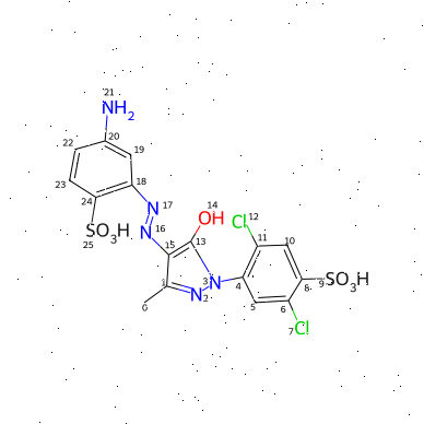 Cc1nn(-c2cc(Cl)c(S(=O)(=O)O)cc2Cl)c(O)c1N=Nc1cc(N)ccc1S(=O)(=O)O